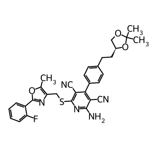 Cc1oc(-c2ccccc2F)nc1CSc1nc(N)c(C#N)c(-c2ccc(CC[C@H]3COC(C)(C)O3)cc2)c1C#N